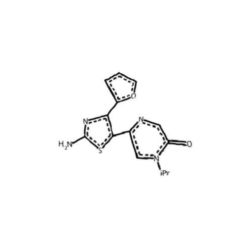 CC(C)n1cc(-c2sc(N)nc2-c2ccco2)ncc1=O